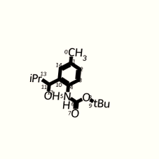 Cc1ccc(NC(=O)OC(C)(C)C)c(C(O)C(C)C)c1